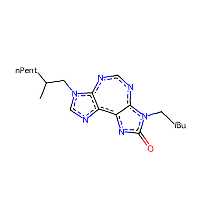 CCCCCC(C)Cn1cnc2c3nc(=O)n(CC(C)CC)c-3ncnc21